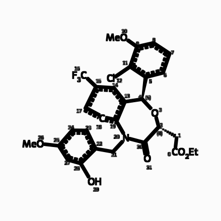 CCOC(=O)C[C@H]1O[C@H](c2cccc(OC)c2Cl)c2cc(C(F)(F)F)ccc2N(Cc2ccc(OC)cc2O)C1=O